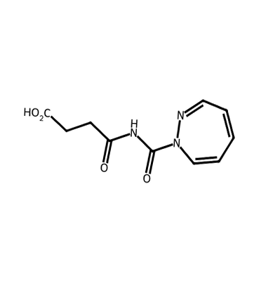 O=C(O)CCC(=O)NC(=O)N1C=CC=CC=N1